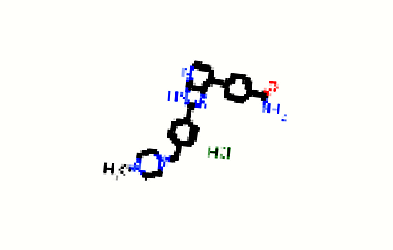 CN1CCN(Cc2ccc(-c3nc4c(-c5ccc(C(N)=O)cc5)ccnc4[nH]3)cc2)CC1.Cl